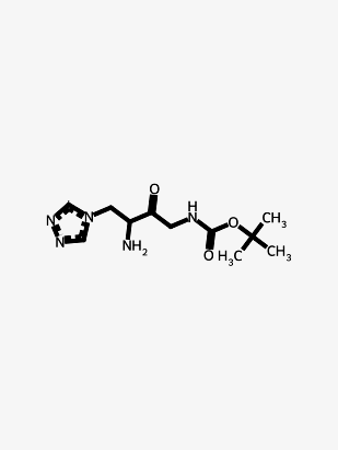 CC(C)(C)OC(=O)NCC(=O)C(N)Cn1[c]nnc1